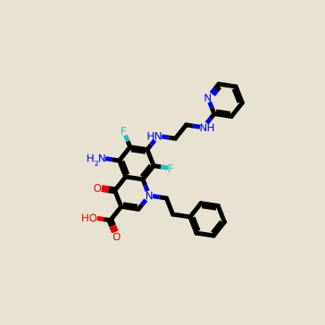 Nc1c(F)c(NCCNc2ccccn2)c(F)c2c1c(=O)c(C(=O)O)cn2CCc1ccccc1